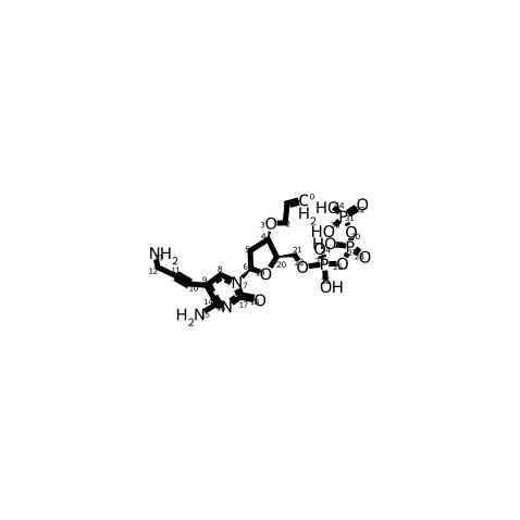 C=CCO[C@H]1C[C@H](n2cc(C#CCN)c(N)nc2=O)O[C@@H]1COP(=O)(O)OP(=O)(O)OP(=O)(O)O